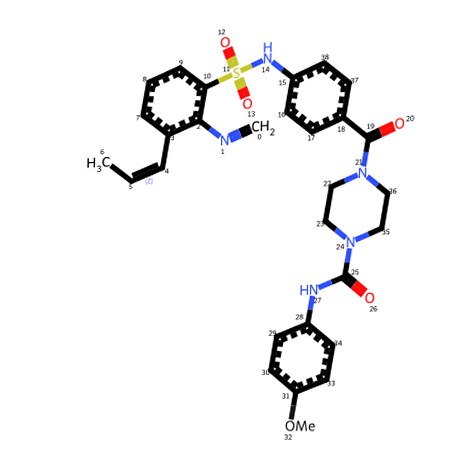 C=Nc1c(/C=C\C)cccc1S(=O)(=O)Nc1ccc(C(=O)N2CCN(C(=O)Nc3ccc(OC)cc3)CC2)cc1